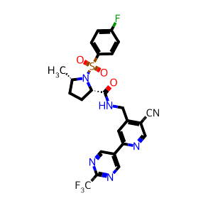 C[C@H]1CC[C@@H](C(=O)NCc2cc(-c3cnc(C(F)(F)F)nc3)ncc2C#N)N1S(=O)(=O)c1ccc(F)cc1